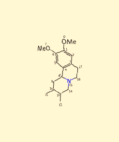 COc1cc2c(cc1OC)C1CC(C)C(C)CN1CC2